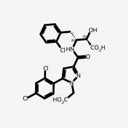 O=C(O)Cn1nc(C(=O)N[C@H](Cc2ccccc2Cl)[C@@H](O)C(=O)O)cc1-c1ccc(Cl)cc1Cl